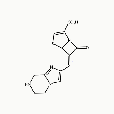 O=C(O)C1=CSC2/C(=C\c3cn4c(n3)CNCC4)C(=O)N12